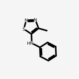 Cc1nnsc1Nc1ccccc1